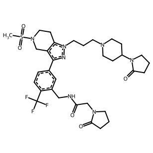 CS(=O)(=O)N1CCc2c(c(-c3ccc(C(F)(F)F)c(CNC(=O)CN4CCCC4=O)c3)nn2CCCN2CCC(N3CCCC3=O)CC2)C1